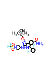 C[Si](C)(C)CCOCn1nc(NC2CCN(S(=O)(=O)C(F)(F)F)CC2)c2nc(-c3c(F)cccc3F)c3cc(C(N)=O)ccc3c21